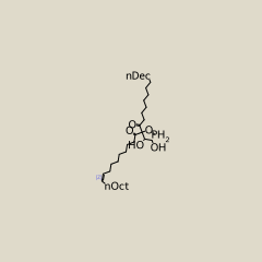 CCCCCCCC/C=C\CCCCCCCC(=O)C(OP)(C(=O)CCCCCCCCCCCCCCCCC)C(O)CO